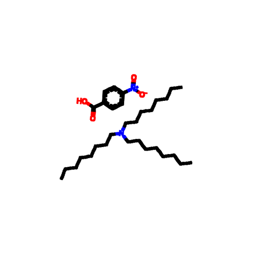 CCCCCCCCN(CCCCCCCC)CCCCCCCC.O=C(O)c1ccc([N+](=O)[O-])cc1